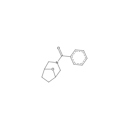 O=C(c1ccccc1)N1CC2CCC(C1)O2